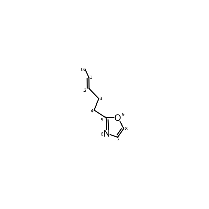 [CH2]/C=C/CCc1ncco1